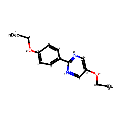 CCCCCCCCCCCOc1ccc(-c2ncc(OCC(C)CC)cn2)cc1